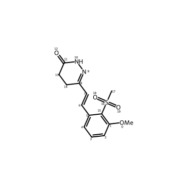 COc1cccc(C=CC2=NNC(=O)CC2)c1S(C)(=O)=O